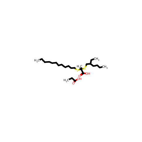 CCC(=O)O.CCCCCCCCCCCCSC(C)(SCC(CC)CCCC)C(=O)O